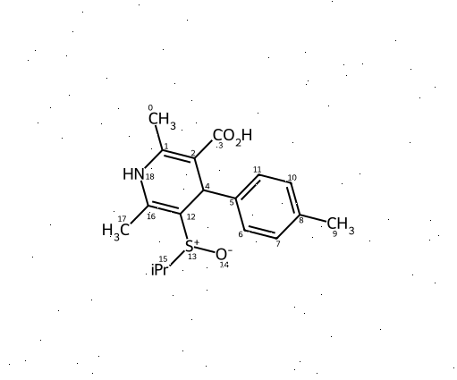 CC1=C(C(=O)O)C(c2ccc(C)cc2)C([S+]([O-])C(C)C)=C(C)N1